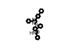 C1=CC2c3c(ccc4c3OC(c3ccccc3)N4)N(c3cc(-c4ccc(C5=CCCCC5)cc4)nc(-c4ccccc4)n3)C2C=C1